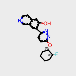 Oc1cc2ccncc2cc1-c1ccc(O[C@H]2CCCC[C@H]2F)nn1